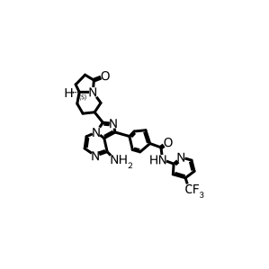 Nc1nccn2c(C3CC[C@H]4CCC(=O)N4C3)nc(-c3ccc(C(=O)Nc4cc(C(F)(F)F)ccn4)cc3)c12